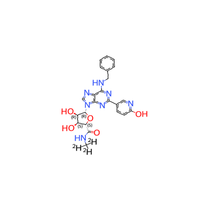 [2H]C([2H])([2H])NC(=O)[C@H]1O[C@@H](n2cnc3c(NCc4ccccc4)nc(-c4ccc(O)nc4)nc32)[C@H](O)[C@@H]1O